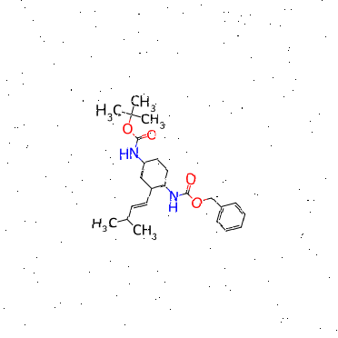 CC(C)/C=C/C1CC(NC(=O)OC(C)(C)C)CCC1NC(=O)OCc1ccccc1